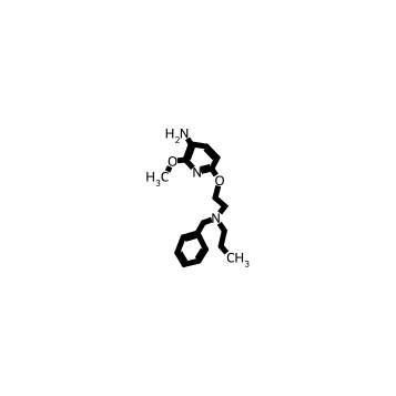 CCCN(CCOc1ccc(N)c(OC)n1)Cc1ccccc1